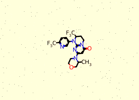 CC1COCCN1c1cc(=O)n2c(n1)N(c1ccc(C(F)(F)F)nc1)C(C(F)(F)F)CC2